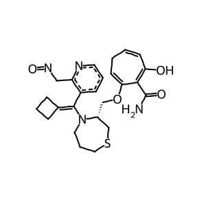 NC(=O)C1=C(O)C=CCC=C1OC[C@@H]1CSCCCN1C(=C1CCC1)c1cccnc1CN=O